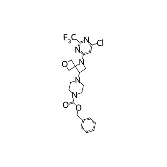 O=C(OCc1ccccc1)N1CCN(C2CN(c3cc(Cl)nc(C(F)(F)F)n3)C23COC3)CC1